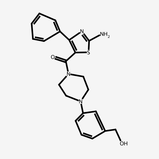 Nc1nc(-c2ccccc2)c(C(=O)N2CCN(c3cccc(CO)c3)CC2)s1